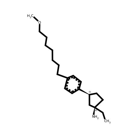 CC[C@@]1(N)CC[C@H](c2ccc(CCCCCCCOC)cc2)C1